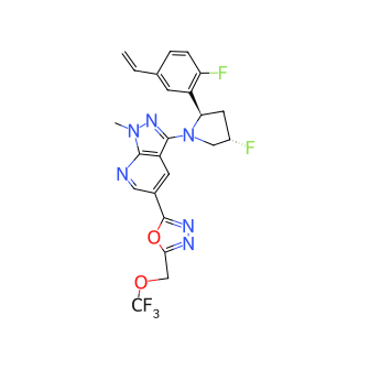 C=Cc1ccc(F)c([C@H]2C[C@H](F)CN2c2nn(C)c3ncc(-c4nnc(COC(F)(F)F)o4)cc23)c1